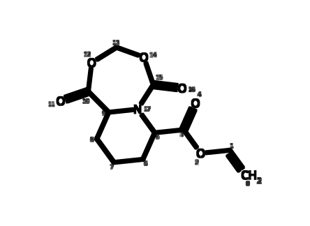 C=COC(=O)C1CCCC2C(=O)OCOC(=O)N12